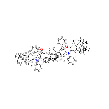 CC1(C)c2ccc(N(c3ccccc3)c3cc4c(c5c3oc3ccccc35)-c3ccc5c(c3[Si]4(C)C)[Si](C)(C)c3cc(N(c4ccccc4)c4ccc6c(c4)C(C)(C)C(C)(C)C6(C)C)c4c(oc6ccccc64)c3-5)cc2C(C)(C)C1(C)C